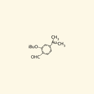 CC(C)COc1c[c]([Au]([CH3])[CH3])ccc1C=O